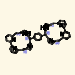 C1=C/C2=C/c3cccc(n3)-c3cccc(n3)/C=c3/cc/c([nH]3)=C(\c3ccc(/C4=c5\cc/c([nH]5)=C/c5cccc(n5)-c5cccc(n5)/C=C5/C=CC4=N5)cc3)C1=N2